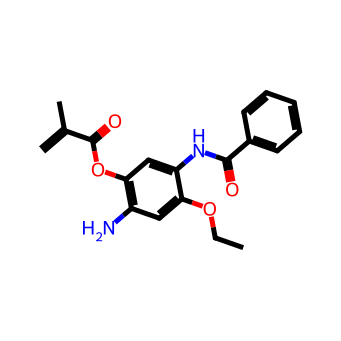 C=C(C)C(=O)Oc1cc(NC(=O)c2ccccc2)c(OCC)cc1N